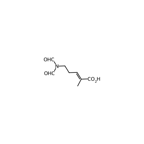 CC(=CCCN(C=O)C=O)C(=O)O